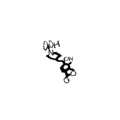 Cc1c(C(O)CC2CCN(C(=O)O)CC2)ccc2c1COC2=O